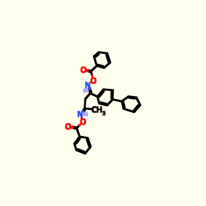 C/C(C/C(=N/OC(=O)c1ccccc1)c1ccc(-c2ccccc2)cc1)=N\OC(=O)c1ccccc1